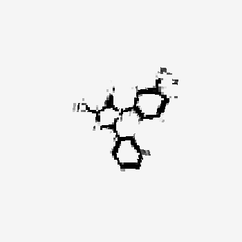 O=C1C(O)SC(c2ccccc2)N1c1cccc(C(F)(F)F)c1